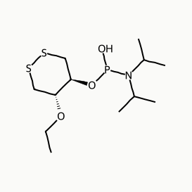 CCO[C@@H]1CSSC[C@H]1OP(O)N(C(C)C)C(C)C